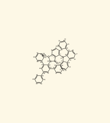 O=C1c2c(cccc2-n2c3ccccc3c3cccc(-c4cncnc4)c32)C(O)N1c1c(-c2ccccc2)cc(-c2ccccc2)cc1-c1ccccc1